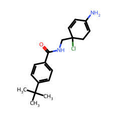 CC(C)(C)c1ccc(C(=O)NCC2(Cl)C=CC(N)=CC2)cc1